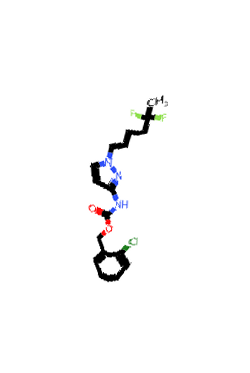 CC(F)(F)CCCCn1ccc(NC(=O)OCc2ccccc2Cl)n1